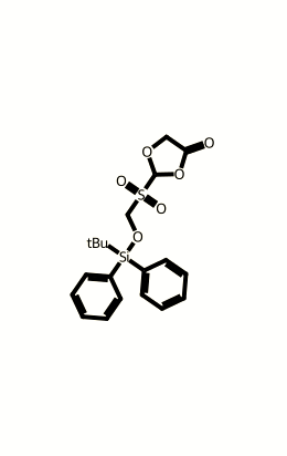 CC(C)(C)[Si](OCS(=O)(=O)C1OCC(=O)O1)(c1ccccc1)c1ccccc1